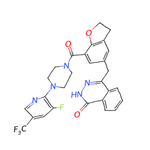 O=C(c1cc(Cc2n[nH]c(=O)c3ccccc23)cc2c1OCC2)N1CCN(c2ncc(C(F)(F)F)cc2F)CC1